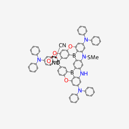 CSN1c2cc3c(cc2B2c4cc5c(cc4Oc4cc(N(c6ccccc6)c6ccccc6)cc1c42)Oc1cc(N(c2ccccc2)c2ccccc2)cc2c1B5c1cc(C#N)ccc1O2)B1c2cc(C#N)ccc2Oc2cc(N(c4ccccc4)c4ccccc4)cc(c21)N3